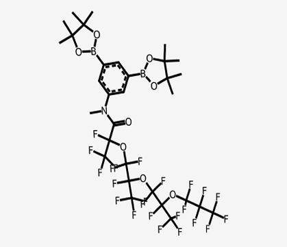 CN(C(=O)C(F)(OC(F)(F)C(F)(OC(F)(F)C(F)(OC(F)(F)C(F)(F)C(F)(F)F)C(F)(F)F)C(F)(F)F)C(F)(F)F)c1cc(B2OC(C)(C)C(C)(C)O2)cc(B2OC(C)(C)C(C)(C)O2)c1